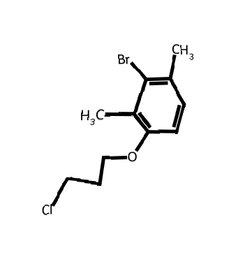 Cc1ccc(OCCCCl)c(C)c1Br